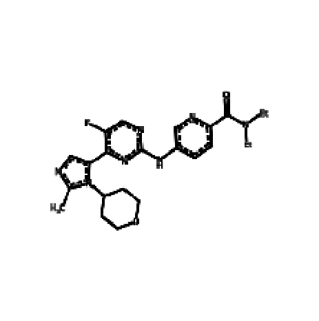 CCN(CC)C(=O)c1ccc(Nc2ncc(F)c(-c3cnc(C)n3C3CCOCC3)n2)cn1